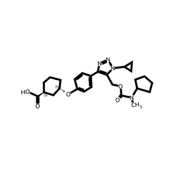 CN(C(=O)OCc1c(-c2ccc(O[C@H]3CCC[C@H](C(=O)O)C3)cc2)nnn1C1CC1)C1CCCC1